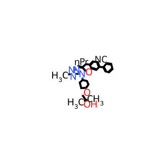 CCCc1c(Cc2ccc(-c3ccccc3C#N)cc2)c(=O)n(C2CCC(OCC(C)(C)O)CC2)c2nc(C)nn12